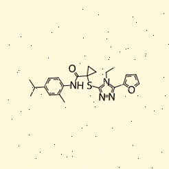 CCn1c(SC2(C(=O)Nc3ccc(C(C)C)cc3C)CC2)nnc1-c1ccco1